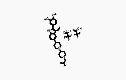 CCc1c(-c2ccc(OC)c(OC)c2)[nH]c2ccc(C3CCN(C4CCN(CC(C)C)CC4)CC3)cc12.O=C(O)C(F)(F)F.O=C(O)C(F)(F)F